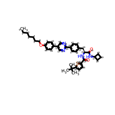 CCCCCCCOc1ccc(-c2cnc(-c3ccc(C[C@H](NC(=O)c4ccc(C(C)(C)C)s4)C(=O)NC4CCC4)cc3)nc2)cc1